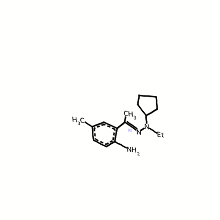 CCN(/N=C(\C)c1cc(C)ccc1N)C1CCCC1